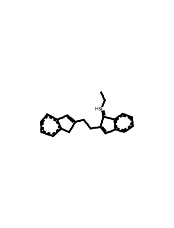 CC[SiH]=C1C(CCC2=Cc3ccccc3C2)=Cc2ccccc21